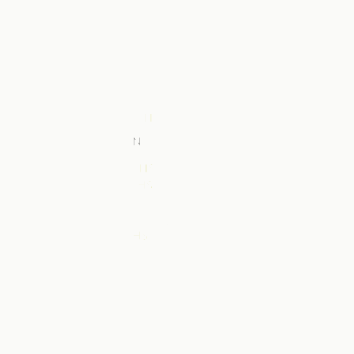 Sc1ccccc1S.Sc1ccccc1S.[Ni]